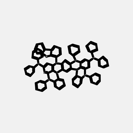 c1ccc(N(c2ccccc2)c2cc3c4c(c2)N(c2ccccc2)c2cc5c(cc2B4c2ccccc2N3c2ccccc2)B2c3ccccc3N(c3ccccc3)c3nc(N(c4ccccc4)c4ccccc4)cc(c32)N5c2cccc3c2oc2ccccc23)cc1